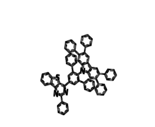 c1ccc(-c2nc(-c3cc(-c4ccccc4)c(-n4c5cc(-c6ccccc6)c(-c6ccccc6)cc5c5cc(-c6ccccc6)c(-c6ccccc6)cc54)c(-c4ccccc4)c3)c3sc4ccccc4c3n2)cc1